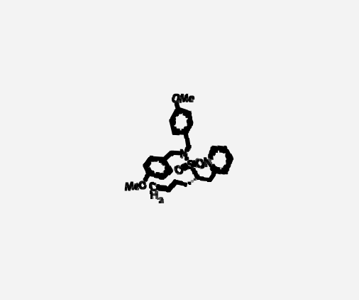 C=CCC[C@@H](Cc1ccccn1)S(=O)(=O)N(Cc1ccc(OC)cc1)Cc1ccc(OC)cc1